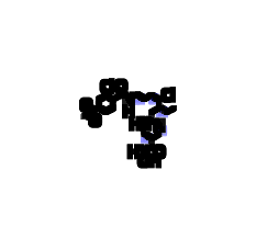 C\C=C(CC(=N)/N=C\C(=C/C)C(=O)NO)/C(Cl)=C\C=C\NC(=O)c1ccc(S(C)(=O)=O)cc1Cl